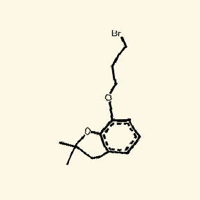 CC1(C)Cc2cccc(OCCCBr)c2O1